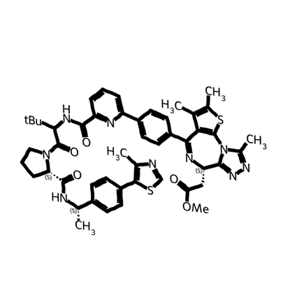 COC(=O)C[C@@H]1N=C(c2ccc(-c3cccc(C(=O)NC(C(=O)N4CCC[C@H]4C(=O)N[C@@H](C)c4ccc(-c5scnc5C)cc4)C(C)(C)C)n3)cc2)c2c(sc(C)c2C)-n2c(C)nnc21